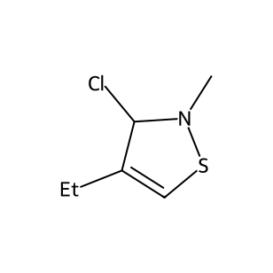 CCC1=CSN(C)C1Cl